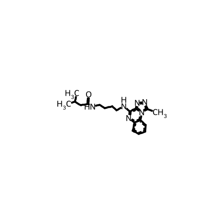 Cc1nnc2c(NCCCCNC(=O)CC(C)C)nc3ccccc3n12